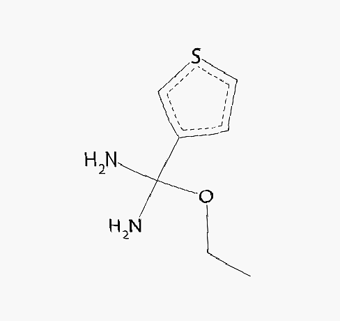 CCOC(N)(N)c1ccsc1